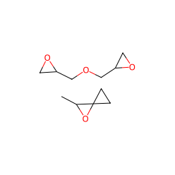 C(OCC1CO1)C1CO1.CC1OC12CC2